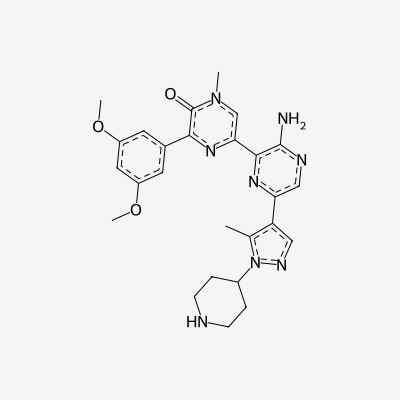 COc1cc(OC)cc(-c2nc(-c3nc(-c4cnn(C5CCNCC5)c4C)cnc3N)cn(C)c2=O)c1